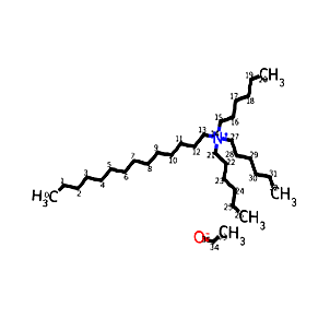 CCCCCCCCCCCCCC[N+](CCCCCC)(CCCCCC)CCCCCC.CC[O-]